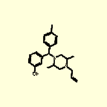 C=CCN1CC(C)N(C(c2ccc(C)cc2)c2cccc(O)c2)CC1C